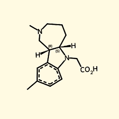 Cc1ccc2c(c1)[C@@H]1CN(C)CCC[C@@H]1N2CC(=O)O